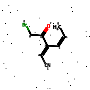 C/C=C\C(=C/C#N)C(=O)CBr